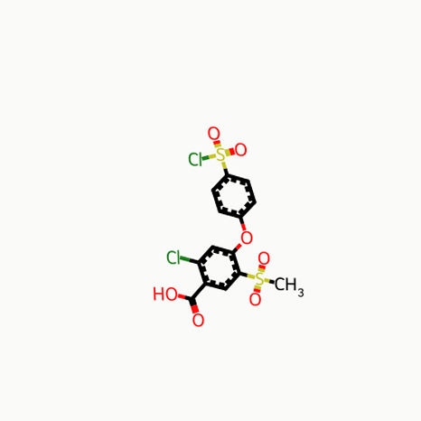 CS(=O)(=O)c1cc(C(=O)O)c(Cl)cc1Oc1ccc(S(=O)(=O)Cl)cc1